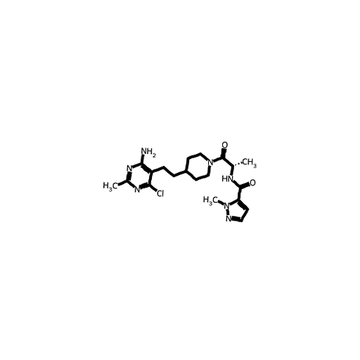 Cc1nc(N)c(CCC2CCN(C(=O)[C@H](C)NC(=O)c3ccnn3C)CC2)c(Cl)n1